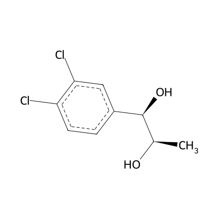 C[C@@H](O)[C@H](O)c1ccc(Cl)c(Cl)c1